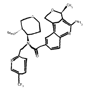 CO[C@@H]1COCC[C@H]1N(Cc1ccc(C(F)(F)F)cn1)C(=O)c1ccc2nc(N)c3c(c2c1)CO[C@H]3C